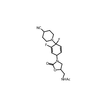 CC(=O)NCC1CN(C2C=CC(F)(N3CCC(C#N)CC3)C(F)=C2)C(=O)O1